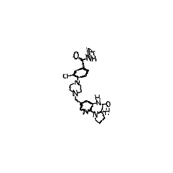 CC(C)NC(=O)c1ccc(N2CCN(Cc3cnc4c(c3)NC(=O)[C@@H]3CCCN43)CC2)c(Cl)c1